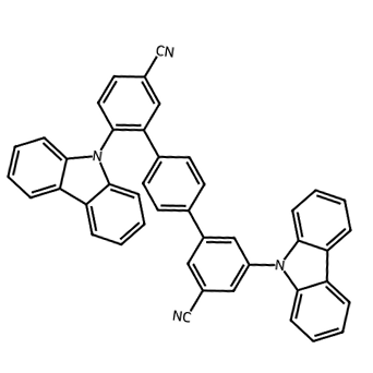 N#Cc1cc(-c2ccc(-c3cc(C#N)ccc3-n3c4ccccc4c4ccccc43)cc2)cc(-n2c3ccccc3c3ccccc32)c1